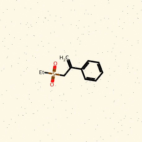 C=C(CS(=O)(=O)CC)c1ccccc1